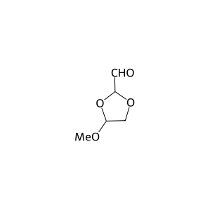 COC1COC(C=O)O1